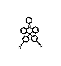 N#Cc1ccc(C2(c3ccc(C#N)cc3)c3ccccc3N(c3ccccc3)c3ccccc32)cc1